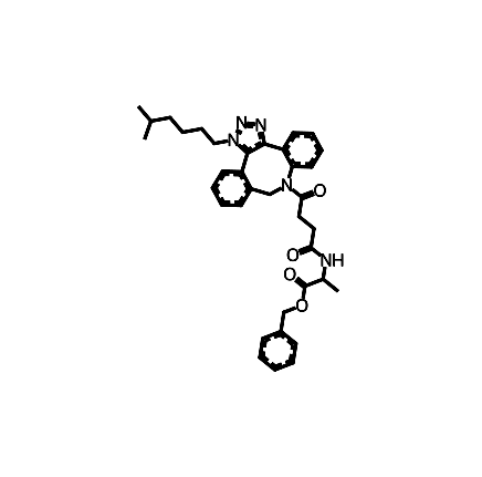 CC(C)CCCCn1nnc2c1-c1ccccc1CN(C(=O)CCC(=O)NC(C)C(=O)OCc1ccccc1)c1ccccc1-2